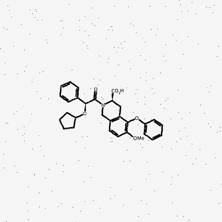 COc1ccc2c(c1Oc1ccccc1)C[C@H](C(=O)O)N(C(=O)[C@@H](OC1CCCC1)c1ccccc1)C2